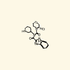 Cl.O=C(c1nc2ccccc2[nH]1)N(C(=O)N1CCOCC1)C1CCCNC1